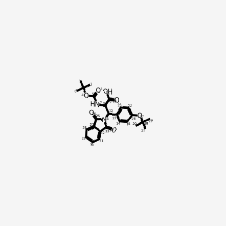 CC(C)(C)OC(=O)NC(C(=O)O)C(c1ccc(OC(C)(C)C)cc1)N1C(=O)c2ccccc2C1=O